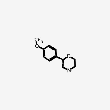 FC(F)(F)Oc1ccc(C2C[N]CCO2)cc1